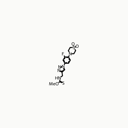 COC(=S)NCc1cn(-c2ccc(N3CCS(=O)(=O)CC3)c(F)c2)nn1